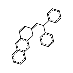 C1=Cc2cc3ccccc3cc2CC1=CC(c1ccccc1)c1ccccc1